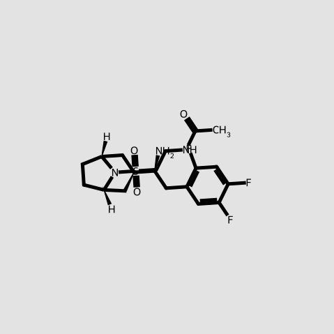 CC(=O)NCCS(=O)(=O)N1[C@@H]2CC[C@H]1C[C@H]([C@@H](N)Cc1cc(F)c(F)cc1F)C2